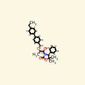 CCc1ccc(-c2ccc(CO[C@@H](C)C(=O)N3C(=O)OC(C)(C)[C@@H]3c3ccccc3)cc2)cc1